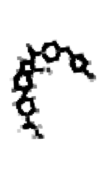 Cn1c(C(=O)N2CCN(Cc3ccc(C(F)(F)F)cc3)CC2)nc2ccc(C3=CCN(C(=O)OC(C)(C)C)CC3)cc21